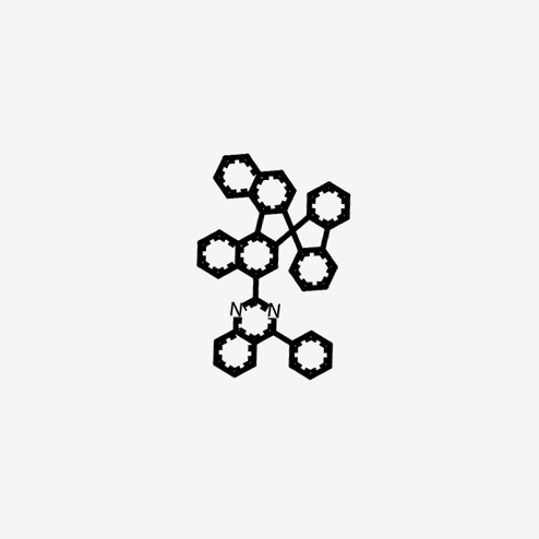 c1ccc(-c2nc(-c3cc4c(c5ccccc35)-c3c(ccc5ccccc35)C43c4ccccc4-c4ccccc43)nc3ccccc23)cc1